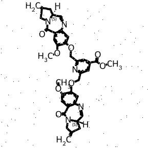 C=C1C[C@H]2C=Nc3cc(OCc4cc(C(=O)OC)cc(COc5cc6c(cc5OC)C(=O)N5CC(=C)C[C@H]5C=N6)n4)c(OC)cc3C(=O)N2C1